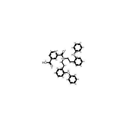 O=C(O)c1ccnc(C(=O)N(CCc2ccccc2Oc2ccccc2)CCc2ccccc2Oc2ccccc2)c1